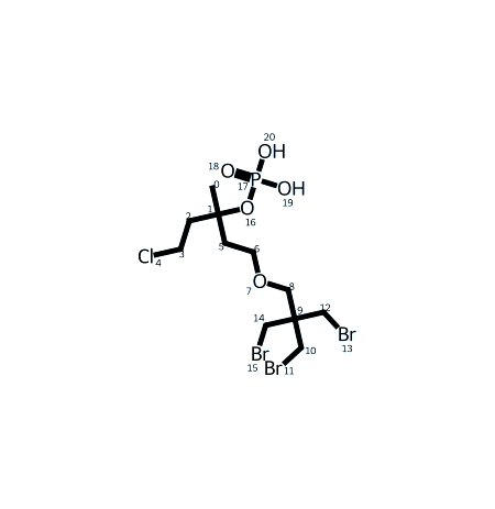 CC(CCCl)(CCOCC(CBr)(CBr)CBr)OP(=O)(O)O